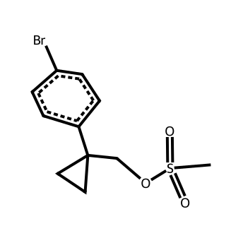 CS(=O)(=O)OCC1(c2ccc(Br)cc2)CC1